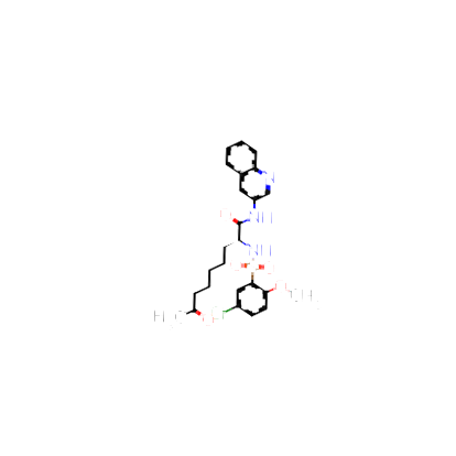 COc1ccc(Cl)cc1S(=O)(=O)N[C@@H](CCCCCC(C)=O)C(=O)Nc1cnc2ccccc2c1